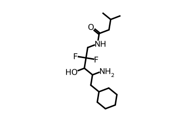 CC(C)CC(=O)NCC(F)(F)C(O)C(N)CC1CCCCC1